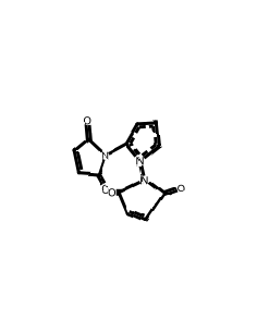 O=C1C=CC(=O)N1c1cccn1N1C(=O)C=CC1=O